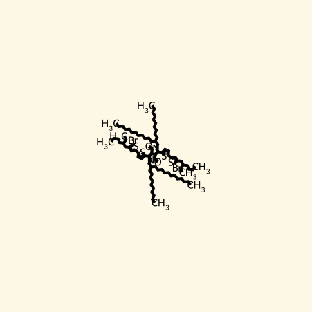 CCCCCCCCCCCCC(CCCCCCCCCC)CN1C(=O)C2=C(c3ccc(-c4cc(CC(CC)CCCC)c(Br)s4)s3)N(CC(CCCCCCCCCC)CCCCCCCCCCCC)C(=O)C2=C1c1ccc(-c2cc(CC(CC)CCCC)c(Br)s2)s1